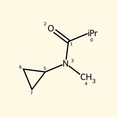 CC(C)C(=O)N(C)C1CC1